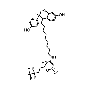 CC1(c2ccc(O)cc2)CSc2cc(O)ccc2C1CCCCCCCCCNC(=C[N+](=O)[O-])NCCCC(F)(F)C(F)(F)F